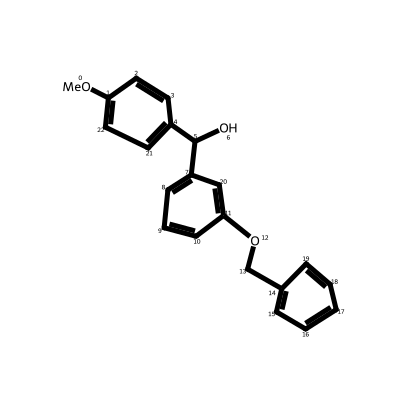 COc1ccc(C(O)c2cccc(OCc3ccccc3)c2)cc1